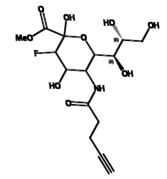 C#CCCC(=O)NC1C(O)C(F)C(O)(C(=O)OC)OC1[C@H](O)[C@H](O)CO